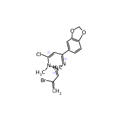 C=C(Br)/C=N\N(C)/C(Cl)=C\C(=N/C)c1ccc2c(c1)OCO2